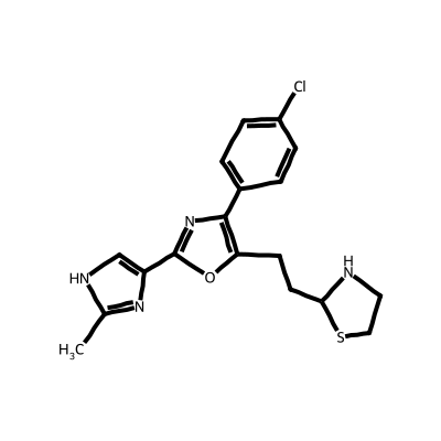 Cc1nc(-c2nc(-c3ccc(Cl)cc3)c(CCC3NCCS3)o2)c[nH]1